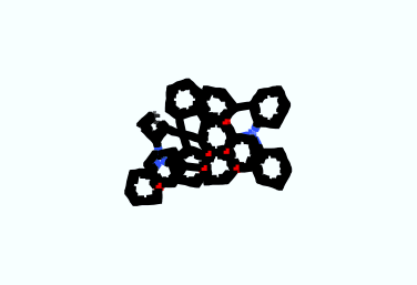 c1ccc(-c2ccc(-c3ccccc3N(c3ccc4c(c3)-c3ccccc3C43c4ccccc4-n4c5ccccc5c5cccc3c54)c3ccccc3-c3ccccc3-c3ccccc3)cc2)cc1